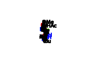 COCCOc1cc2nccc(Oc3ccc(NC(=O)Nc4cc(C(C)(C)C)nn4CC4CC4)cc3F)c2cc1NC(C)=O